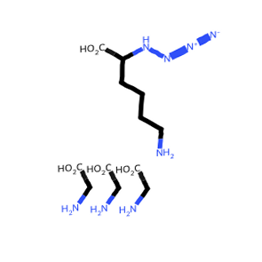 NCC(=O)O.NCC(=O)O.NCC(=O)O.[N-]=[N+]=NNC(CCCCN)C(=O)O